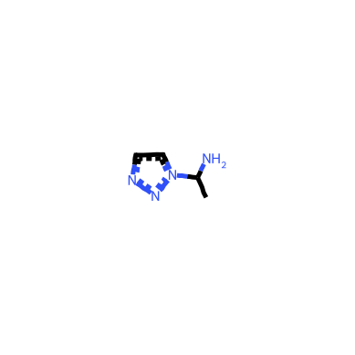 CC(N)n1ccnn1